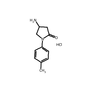 Cc1ccc(N2CC(N)CC2=O)cc1.Cl